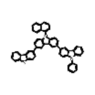 c1ccc(-n2c3ccccc3c3cc(-c4ccc5c(c4)c4cc(-c6ccc7sc8ccccc8c7c6)ccc4n5-c4cccc5ccccc45)ccc32)cc1